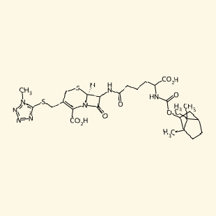 Cn1nnnc1SCC1=C(C(=O)O)N2C(=O)C(NC(=O)CCCC(NC(=O)OC3CC4CCC3(C)C4(C)C)C(=O)O)[C@@H]2SC1